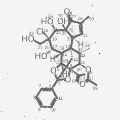 C=C(C)[C@@]12OC3(c4ccccc4)C[C@@]4([C@H]([C@H]1O3)[C@H](O)[C@](Cl)(CO)[C@@H](O)[C@]1(O)C(=O)C(C)=C[C@H]14)[C@H](C)[C@H]2OC(C)=O